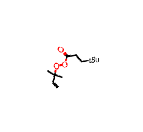 C=CC(C)(C)OOC(=O)CCC(C)(C)C